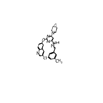 Cc1cccc(/C=N/Nc2cc(N3CCOCC3)nc(Oc3ccc4ncc(Cl)cc4c3)n2)c1